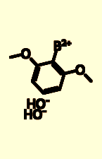 [B+2]c1c(OC)cccc1OC.[OH-].[OH-]